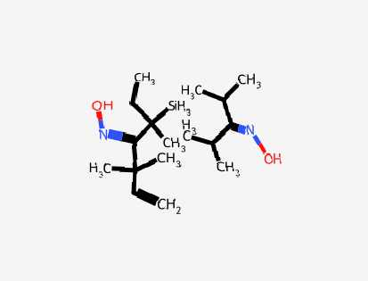 C=CC(C)(C)C(=NO)C(C)([SiH3])CC.CC(C)C(=NO)C(C)C